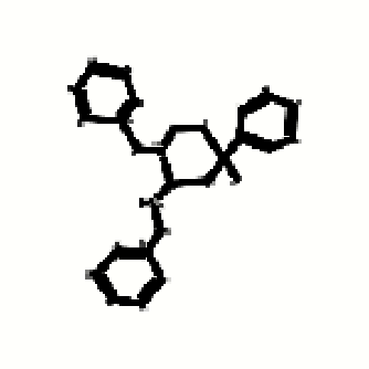 CC1(c2ccccc2)CCN(Cc2ccccc2)C(NCc2ccccc2)C1